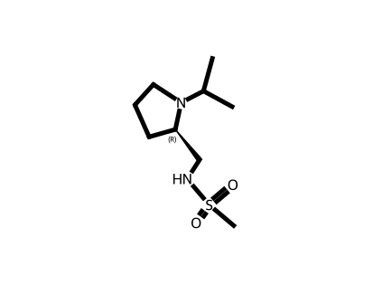 CC(C)N1CCC[C@@H]1CNS(C)(=O)=O